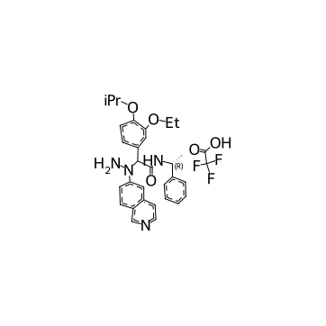 CCOc1cc(C(C(=O)N[C@H](C)c2ccccc2)N(N)c2ccc3cnccc3c2)ccc1OC(C)C.O=C(O)C(F)(F)F